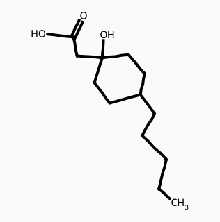 CCCCCC1CCC(O)(CC(=O)O)CC1